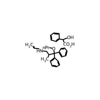 C=CCNCC(C)C(OCCC)(c1ccccc1)c1ccccc1.O=C(O)C(O)c1ccccc1